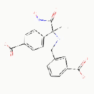 CC(NCc1cccc(C(=O)O)c1)(C(=O)NO)c1ccc(C(=O)O)cc1